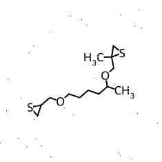 CC(CCCCOCC1CS1)OCC1(C)CS1